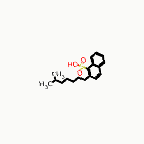 CC(C)CCCCCc1ccc2ccccc2c1S(=O)(=O)O